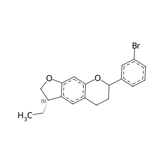 CC[C@@H]1COc2cc3c(cc21)CCC(c1cccc(Br)c1)O3